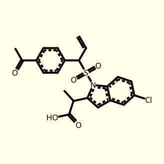 C=CC(c1ccc(C(C)=O)cc1)S(=O)(=O)n1c(C(C)C(=O)O)cc2cc(Cl)ccc21